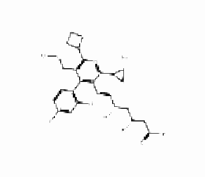 COCc1c(C2CCC2)nc(C2CC2)c(/C=C/[C@@H](O)C[C@@H](O)CC(=O)[O-])c1-c1ccc(F)cc1Cl.[Na+]